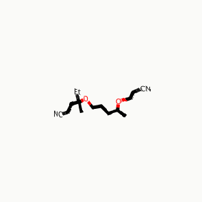 CCC(C)(CCC#N)OCCCC(C)OCCC#N